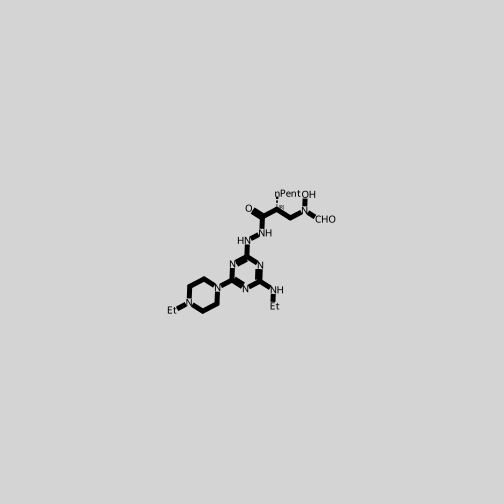 CCCCC[C@H](CN(O)C=O)C(=O)NNc1nc(NCC)nc(N2CCN(CC)CC2)n1